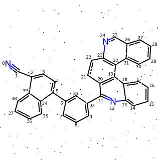 N#Cc1ccc(-c2cccc(-c3nc4ccccc4c4c3ccc3ncc5ccccc5c34)c2)c2ccccc12